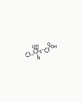 N#Cc1c(Cc2ccccc2)cc(=O)[nH]c1SCc1cccc(C(=O)O)c1